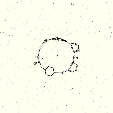 O=C1CN2CCC(CC2)Oc2cccc(c2)Nc2cc(ccn2)-c2cnc(nc2)NCCCN1